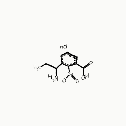 CCC(N)c1cccc(C(=O)O)c1[N+](=O)[O-].Cl